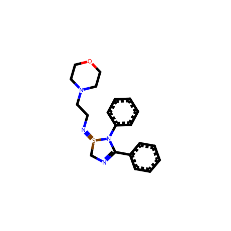 c1ccc(C2=NCS(=NCCN3CCOCC3)N2c2ccccc2)cc1